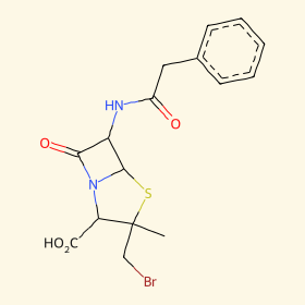 CC1(CBr)SC2C(NC(=O)Cc3ccccc3)C(=O)N2C1C(=O)O